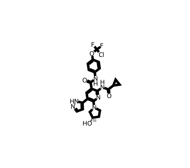 O=C(Nc1ccc(OC(F)(F)Cl)cc1)c1cc(-c2ccn[nH]2)c(N2CC[C@H](O)C2)nc1NC(=O)C1CC1